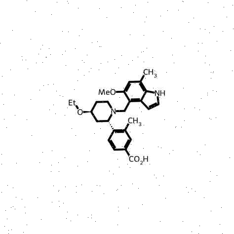 CCO[C@H]1CCN(Cc2c(OC)cc(C)c3[nH]ccc23)[C@H](c2ccc(C(=O)O)cc2C)C1